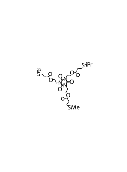 CSCCC(=O)OCCn1c(=O)n(CCOC(=O)CCSC(C)C)c(=O)n(CCOC(=O)CCSC(C)C)c1=O